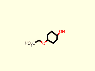 O=C(O)COC1CCC(O)CC1